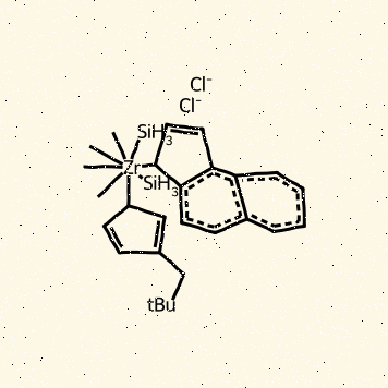 CC(C)(C)CC1=C[CH]([Zr]([CH3])([CH3])([CH3])([CH3])([SiH3])([SiH3])[CH]2C=Cc3c2ccc2ccccc32)C=C1.[Cl-].[Cl-]